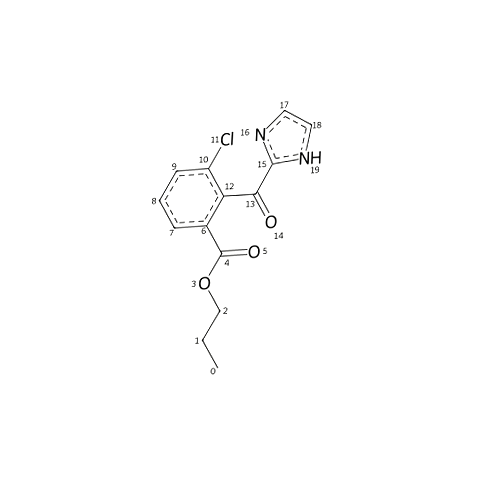 CCCOC(=O)c1cccc(Cl)c1C(=O)c1ncc[nH]1